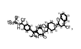 Cn1nc2c(=O)n(CC3(O)CCN(C(=O)CC(c4ccccc4)C(F)(F)F)CC3)cnc2c1-c1ccc(C(N[S@+]([O-])C(C)(C)C)C(F)(F)F)cc1